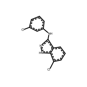 Clc1cccc(Nc2n[nH]c3c(Cl)cccc23)c1